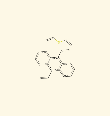 C=CSC=C.C=Cc1c2ccccc2c(C=C)c2ccccc12